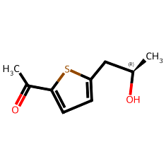 CC(=O)c1ccc(C[C@@H](C)O)s1